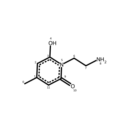 Cc1cc(O)n(CCN)c(=O)c1